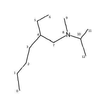 CCCCC(CC)CN(C)C(C)C